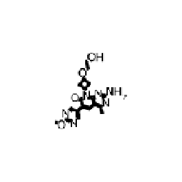 COc1ncc(-c2cc3c(C)nc(N)nc3n([C@H]3C[C@H](OCCO)C3)c2=O)cn1